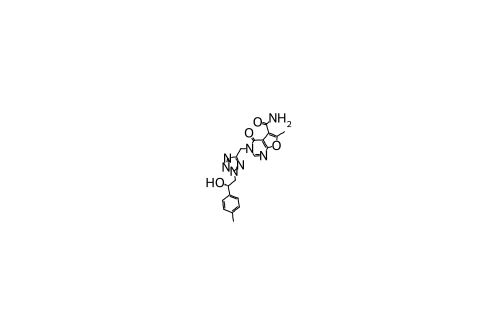 Cc1ccc([C@@H](O)Cn2nnc(Cn3cnc4oc(C)c(C(N)=O)c4c3=O)n2)cc1